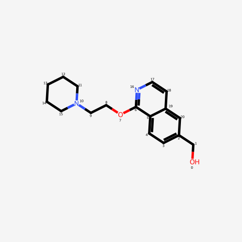 OCc1ccc2c(OCCN3CCCCC3)nccc2c1